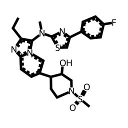 CCc1nc2ccc(C3CCN(S(C)(=O)=O)CC3O)cn2c1N(C)c1nc(-c2ccc(F)cc2)cs1